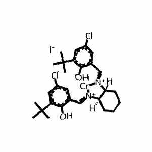 CC(C)(C)c1cc(Cl)cc(C=[N+]2[Cr][N+](=Cc3cc(Cl)cc(C(C)(C)C)c3O)[C@@H]3CCCC[C@H]32)c1O.[I-]